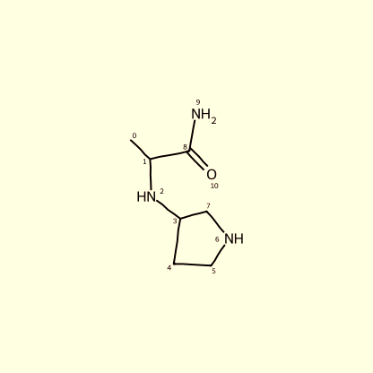 CC(NC1CCNC1)C(N)=O